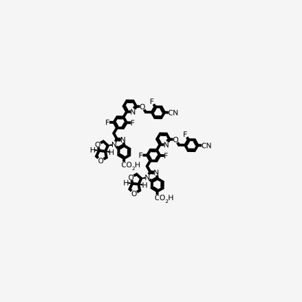 N#Cc1ccc(COc2cccc(-c3cc(F)c(Cc4nc5ccc(C(=O)O)cc5n4[C@@H]4CO[C@H]5COC[C@H]54)cc3F)n2)c(F)c1.N#Cc1ccc(COc2cccc(-c3cc(F)c(Cc4nc5ccc(C(=O)O)cc5n4[C@@H]4CO[C@H]5COC[C@H]54)cc3F)n2)c(F)c1